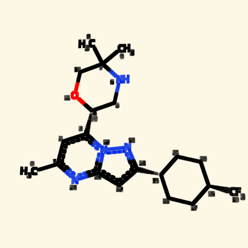 Cc1cc([C@H]2CNC(C)(C)CO2)n2nc([C@H]3CC[C@H](C(F)(F)F)CC3)cc2n1